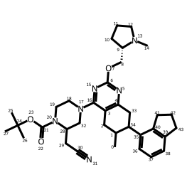 CC1Cc2c(nc(OC[C@@H]3CCCN3C)nc2N2CCN(C(=O)OC(C)(C)C)C(CC#N)C2)CC1c1cccc2c1CCC2